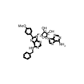 COc1ccc(-c2nc3c(NCc4ccccc4)ncnc3n2C[C@H]2O[C@@H](n3cnc4c(N)ncnc43)[C@H](O)[C@@H]2O)cc1